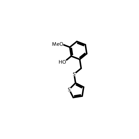 COc1cccc(CSc2cccs2)c1O